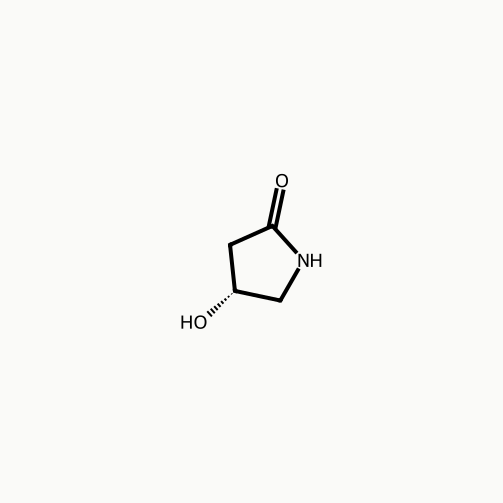 O=C1C[C@@H](O)CN1